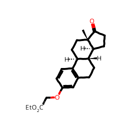 CCOC(=O)COc1ccc2c(c1)CC[C@@H]1[C@@H]2CC[C@]2(C)C(=O)CC[C@@H]12